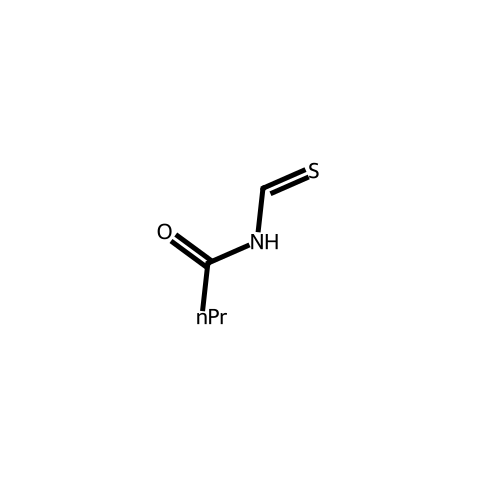 CCCC(=O)NC=S